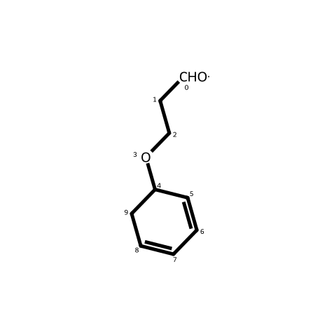 O=[C]CCOC1C=CC=CC1